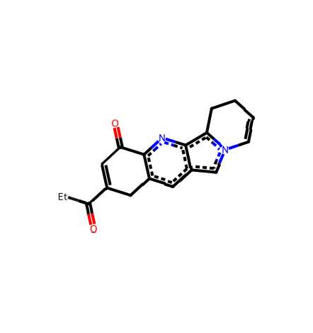 CCC(=O)C1=CC(=O)c2nc3c4n(cc3cc2C1)C=CCC4